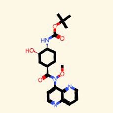 CON(C(=O)[C@@H]1CC[C@@H](NC(=O)OC(C)(C)C)[C@@H](O)C1)c1ccnc2cccnc12